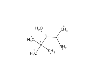 CC(N)CC(C)(C)C.O